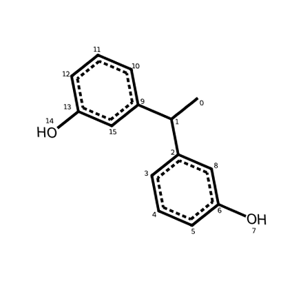 CC(c1cccc(O)c1)c1cccc(O)c1